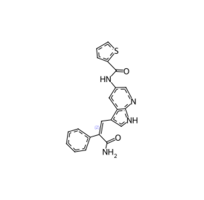 NC(=O)/C(=C\c1c[nH]c2ncc(NC(=O)c3cccs3)cc12)c1ccccc1